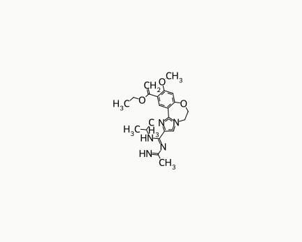 C=C(OCC)c1cc2c(cc1OC)OCCn1cc(/C(=N/C(C)=N)NC(C)C)nc1-2